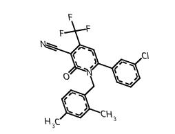 Cc1ccc(Cn2c(-c3cccc(Cl)c3)cc(C(F)(F)F)c(C#N)c2=O)c(C)c1